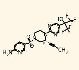 CC#C[C@@H]1CN(S(=O)(=O)c2ccc(N)nc2)CCN1c1ncc(C(O)(C(F)(F)F)C(F)(F)F)cn1